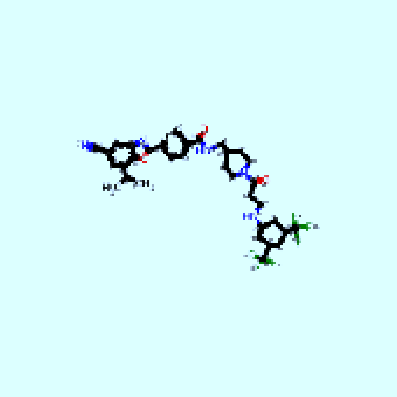 CC(C)c1cc(C#N)cc2nc(-c3ccc(C(=O)NCC4CCN(C(=O)CCNC5CC(C(F)(F)F)CC(C(F)(F)F)C5)CC4)cc3)oc12